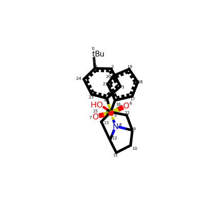 CC(C)(C)c1ccc(S(=O)(=O)N2C3CCC2CC(O)(c2ccccc2)C3)cc1